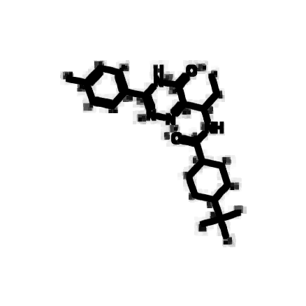 CCC(NC(=O)C1CCC(C(C)(C)C)CC1)c1nnc(-c2ccc(C)cc2)[nH]c1=O